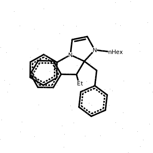 CCCCCCN1C=CN(c2ccccc2)C1(Cc1ccccc1)C(CC)c1ccccc1